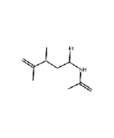 C=C(C)NC(CC)CC(C)C(=C)C